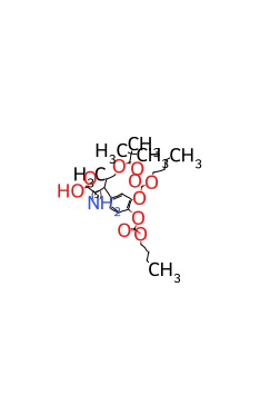 CCCCOC(=O)Oc1ccc(C(C(C)COC(=O)C(C)(C)C)[C@H](N)C(=O)O)cc1OC(=O)OCCCC